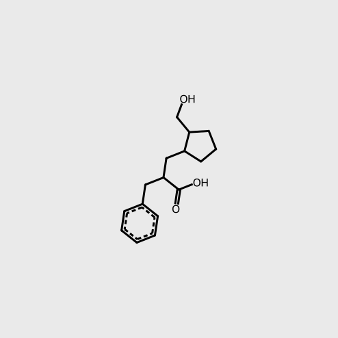 O=C(O)C(Cc1ccccc1)CC1CCCC1CO